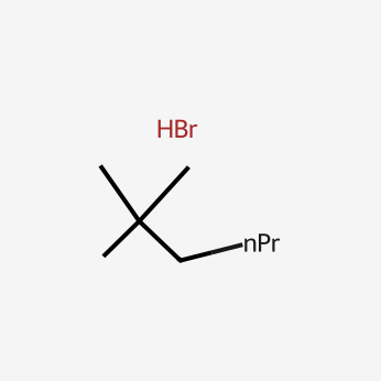 Br.CCCCC(C)(C)C